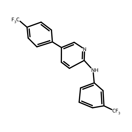 FC(F)(F)c1ccc(-c2ccc(Nc3cccc(C(F)(F)F)c3)nc2)cc1